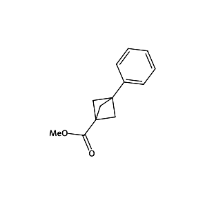 COC(=O)C12CC(c3ccccc3)(C1)C2